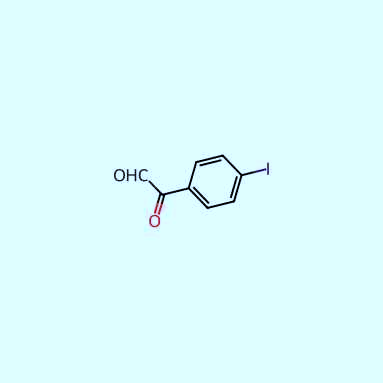 O=CC(=O)c1ccc(I)cc1